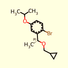 CC(C)Oc1ccc(Br)c([C@@H](C)OCC2CC2)c1